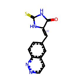 O=C1NC(=S)N/C1=C\c1ccc2nnccc2c1